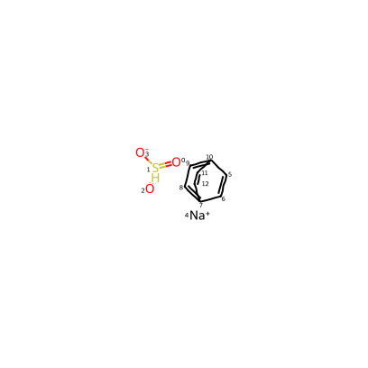 O=[SH](=O)[O-].[Na+].c1cc2ccc1cc2